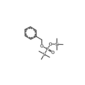 C[Si](C)(C)OP(=O)(OCc1ccccc1)[Si](C)(C)C